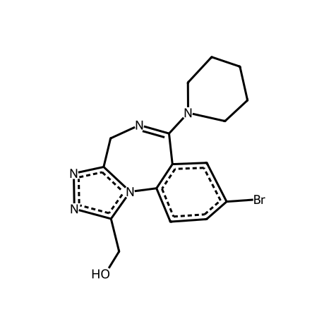 OCc1nnc2n1-c1ccc(Br)cc1C(N1CCCCC1)=NC2